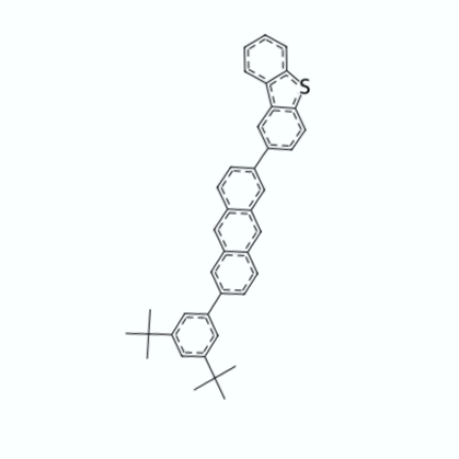 CC(C)(C)c1cc(-c2ccc3cc4cc(-c5ccc6sc7ccccc7c6c5)ccc4cc3c2)cc(C(C)(C)C)c1